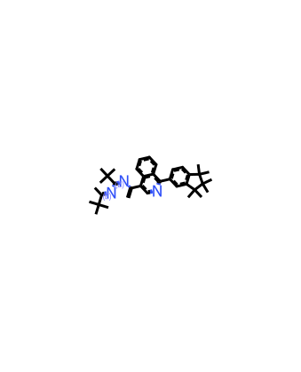 C=C(/N=C(\N=C(/C)C(C)(C)C)C(C)(C)C)c1cnc(-c2ccc3c(c2)C(C)(C)C(C)(C)C3(C)C)c2ccccc12